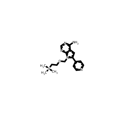 C[Si](C)(C)CCOCn1c(-c2ccncc2)cc2c(N)ncnc21